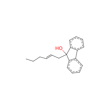 CCCC=CCC1(O)c2ccccc2-c2ccccc21